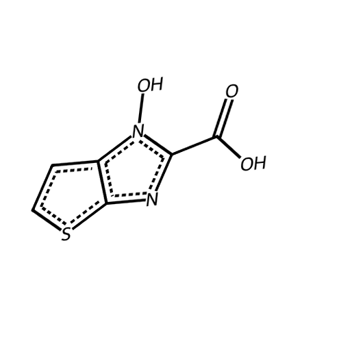 O=C(O)c1nc2sccc2n1O